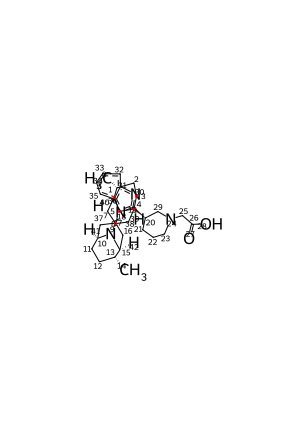 C[C@@H]1CC[C@@H]2C[C@H]1C[C@@H](N1[C@H]3CC[C@@H](C)[C@@H]1C[C@H](n1c([C@@H]4CCCN(CC(=O)O)C4)nc4ccccc41)C3)C2